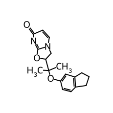 CC(C)(Oc1ccc2c(c1)CCC2)C1Cn2ccc(=O)nc2O1